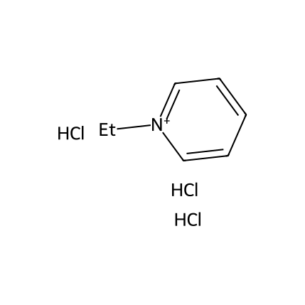 CC[n+]1ccccc1.Cl.Cl.Cl